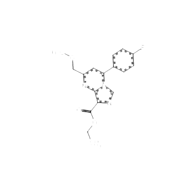 CCOC(=O)c1ncn2c(-c3ccc(F)cc3)cc(COC)nc12